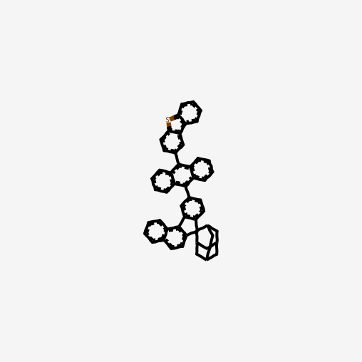 c1ccc2c3c(ccc2c1)C1(c2ccc(-c4c5ccccc5c(-c5ccc6sc7ccccc7c6c5)c5ccccc45)cc2-3)C2CC3CC(C2)CC1C3